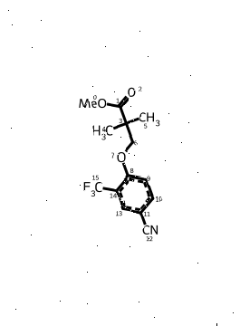 COC(=O)C(C)(C)COc1ccc(C#N)cc1C(F)(F)F